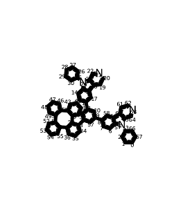 c1ccc(-n2c3ccc(-c4cc(-c5ccc6c(c5)c5ccncc5n6-c5ccccc5)cc(-c5cccc6c5-c5ccccc5-c5ccccc5-c5ccccc5-6)c4)cc3c3ccncc32)cc1